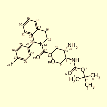 CC(C)(C)OC(=O)N[C@H]1CO[C@@H](C(=O)N2CCc3ccccc3[C@@H]2c2ccc(F)cc2)C[C@@H]1N